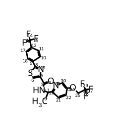 CC(NC(=O)c1csc(-c2ccc(C(F)(F)F)cc2)n1)c1ccc(OCC(F)(F)F)cn1